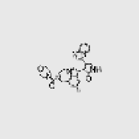 O=C1NCC(c2cnc3ccccn23)=C1c1cn2c3c(cc(F)cc13)CN(C(=O)N1CCOCC1)CC2